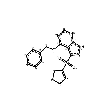 O=S(=O)(C1=CCCC1)c1c[nH]c2ncnc(OCc3ccccc3)c12